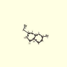 BrCc1cc2cc(Br)ccc2cn1